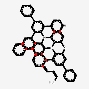 C=C(/C=C\C=C/C)c1cc(-c2ccccc2)cc2c1B1c3c(cc(-c4ccccc4)cc3-c3ccccc3)Sc3cc(C(C)(C)C)cc(c31)N2c1c(-c2ccccc2)cc(-c2ccccc2)cc1-c1ccccc1